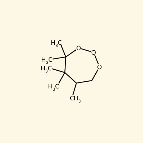 CC1COOOC(C)(C)C1(C)C